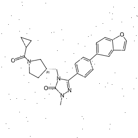 Cn1nc(-c2ccc(-c3ccc4occc4c3)cc2)n(C[C@@H]2CCN(C(=O)C3CC3)C2)c1=O